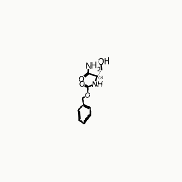 NC(=O)[C@H](CO)NC(=O)OCc1ccccc1